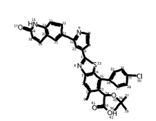 Cc1cc2nc(-c3ccnc(-c4ccc5[nH]c(=O)ccc5c4)c3)sc2c(-c2ccc(Cl)cc2)c1C(OC(C)(C)C)C(=O)O